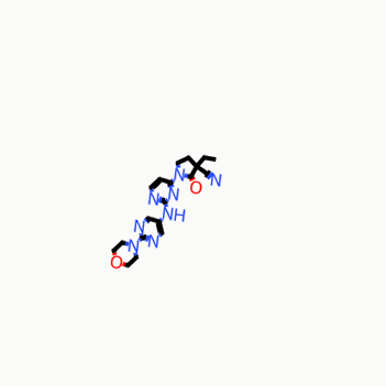 CCC1(C#N)CCN(c2ccnc(Nc3cnc(N4CCOCC4)nc3)n2)C1=O